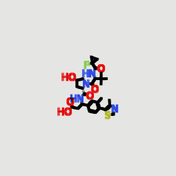 Cc1cc(C(CC(=O)O)NC(=O)[C@@H]2C[C@@H](O)CN2C(=O)C(NC(=O)C2(F)CC2)C(C)(C)C)ccc1-c1scnc1C